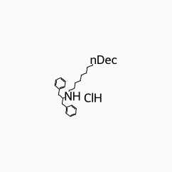 CCCCCCCCCCCCCCCCCCNC(Cc1ccccc1)Cc1ccccc1.Cl